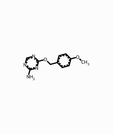 COc1ccc(COc2ncnc(N)n2)cc1